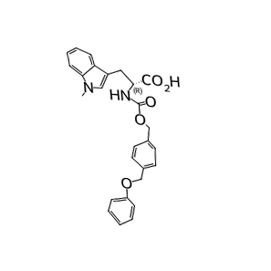 Cn1cc(C[C@@H](NC(=O)OCc2ccc(COc3ccccc3)cc2)C(=O)O)c2ccccc21